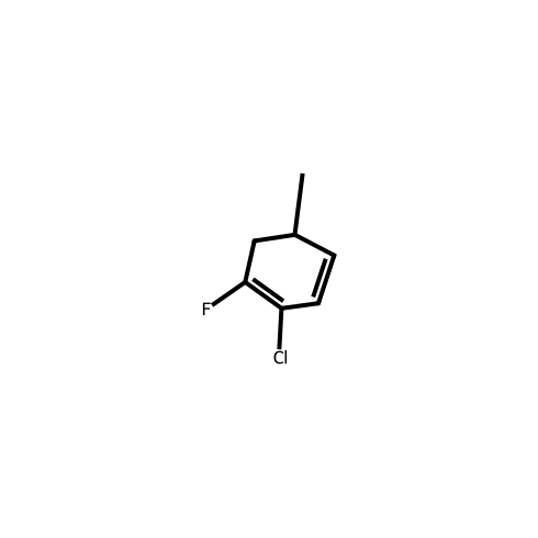 CC1C=CC(Cl)=C(F)C1